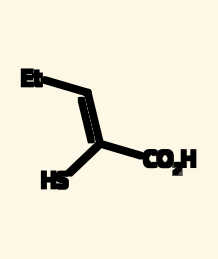 CC/C=C(\S)C(=O)O